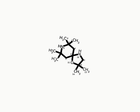 CC1(C)CC2(CC(C)(C)N1)NCC(C)(C)O2